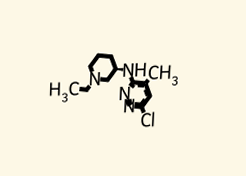 CCN1CCC[C@@H](Nc2nnc(Cl)cc2C)C1